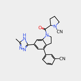 Cc1nnc(-c2cc(-c3cccc(C#N)c3)c3c(c2)N(C(=O)C2CCCN2C#N)CC3)[nH]1